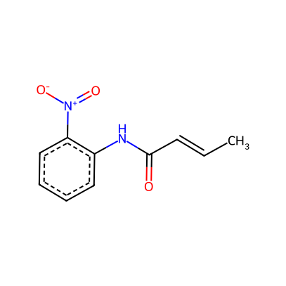 CC=CC(=O)Nc1ccccc1[N+](=O)[O-]